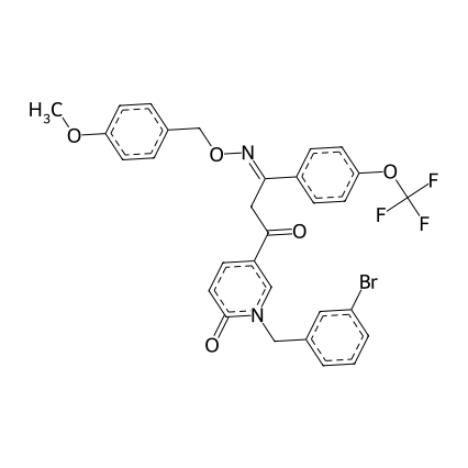 COc1ccc(CO/N=C(\CC(=O)c2ccc(=O)n(Cc3cccc(Br)c3)c2)c2ccc(OC(F)(F)F)cc2)cc1